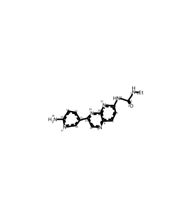 CCNC(=O)Nc1ccc2ncc(-c3ccc(N)nc3)nc2n1